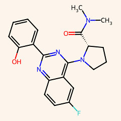 CN(C)C(=O)[C@@H]1CCCN1c1nc(-c2ccccc2O)nc2ccc(F)cc12